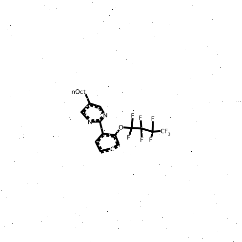 CCCCCCCCc1cnc(-c2ccccc2OC(F)(F)C(F)(F)C(F)(F)C(F)(F)F)nc1